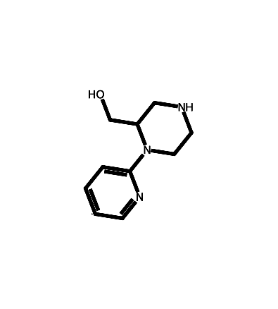 OCC1CNCCN1c1cc[c]cn1